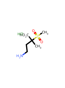 CC(CCN)(C(=O)O)S(C)(=O)=O.Cl